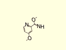 COC(=N)c1cc(OC)ccn1